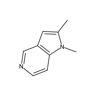 Cc1cc2cnccc2n1C